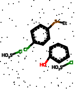 CCSc1ccc(Cl)cc1.O=S(=O)(O)Cl.O=S(=O)(O)Cl.Oc1ccccc1